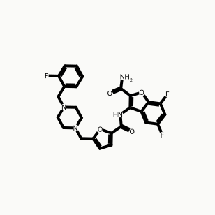 NC(=O)c1oc2c(F)cc(F)cc2c1NC(=O)c1ccc(CN2CCN(Cc3ccccc3F)CC2)o1